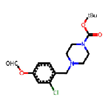 CC(C)(C)OC(=O)N1CCN(Cc2ccc(OC=O)cc2Cl)CC1